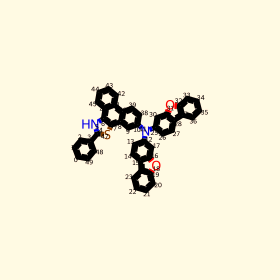 c1ccc(C2Nc3c(c4cc(N(c5ccc6c(c5)oc5ccccc56)c5ccc6c(c5)oc5ccccc56)ccc4c4ccccc34)S2)cc1